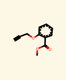 C#CCOc1ccccc1C(=O)OC